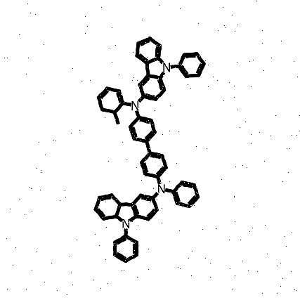 CC1CC=CC=C1N(c1ccc(-c2ccc(N(c3ccccc3)c3ccc4c(c3)C3C=CC=CC3N4c3ccccc3)cc2)cc1)c1ccc2c(c1)c1ccccc1n2-c1ccccc1